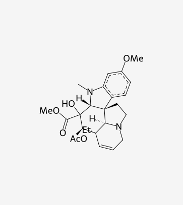 CC[C@]12C=CCN3CC[C@@]4(c5ccc(OC)cc5N(C)[C@H]4C(O)(C(=O)OC)[C@@H]1OC(C)=O)[C@@H]32